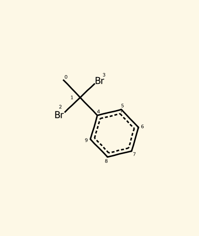 CC(Br)(Br)c1[c]cccc1